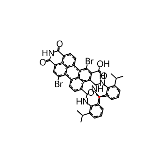 CC(C)c1cccc(C(C)C)c1NC(=N)c1c(C(=O)O)c(Br)c2c3ccc4c5c(cc(Br)c(c6ccc(C(=O)Nc7c(C(C)C)cccc7C(C)C)c1c62)c53)C(=O)NC4=O